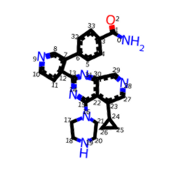 NC(=O)c1ccc(-c2cnccc2-c2nc(N3CCNCC3)c3c(C4CC4)cncc3n2)cc1